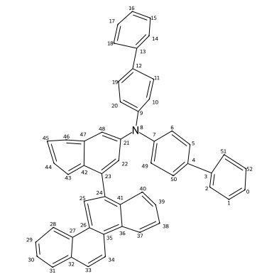 c1ccc(-c2ccc(N(c3ccc(-c4ccccc4)cc3)c3cc(-c4cc5c6ccccc6ccc5c5ccccc45)c4ccccc4c3)cc2)cc1